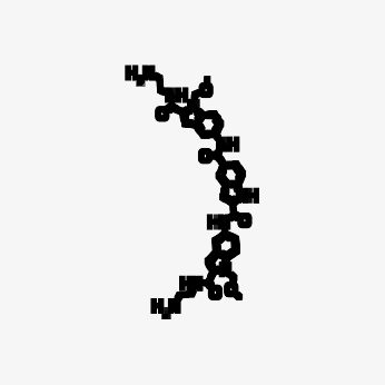 COCn1c(C(=O)NCCN)cc2cc(NC(=O)c3ccc4[nH]c(C(=O)Nc5ccc6c(c5)cc(C(=O)NCCN)n6COC)cc4c3)ccc21